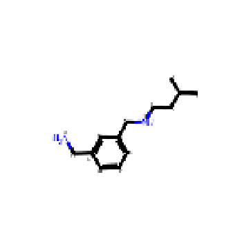 CC(C)CCNCc1cccc(CN)c1